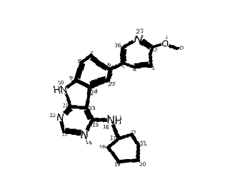 COc1ccc(-c2ccc3[nH]c4ncnc(NC5CCCCC5)c4c3c2)cn1